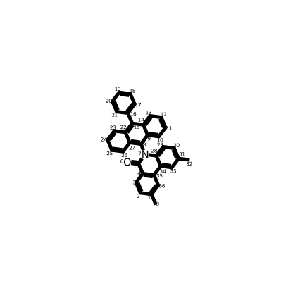 Cc1ccc2c(=O)n(-c3c4ccccc4c(-c4ccccc4)c4ccccc34)c3ccc(C)cc3c2c1